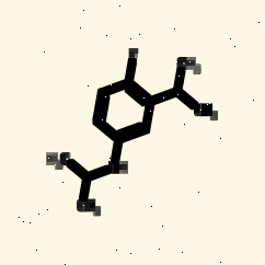 CC(C)Nc1ccc(F)c(C(C)C)c1